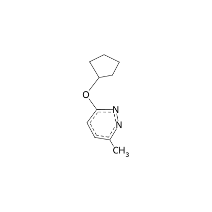 Cc1ccc(OC2CCCC2)nn1